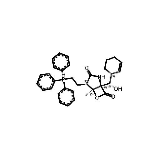 C[C@@]12OC(=O)[C@]1([C@@H](O)[C@@H]1C=CCCC1)NC(=O)[C@@H]2CC[PH](c1ccccc1)(c1ccccc1)c1ccccc1